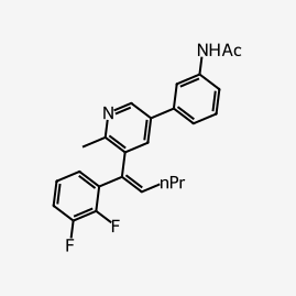 CCC/C=C(\c1cc(-c2cccc(NC(C)=O)c2)cnc1C)c1cccc(F)c1F